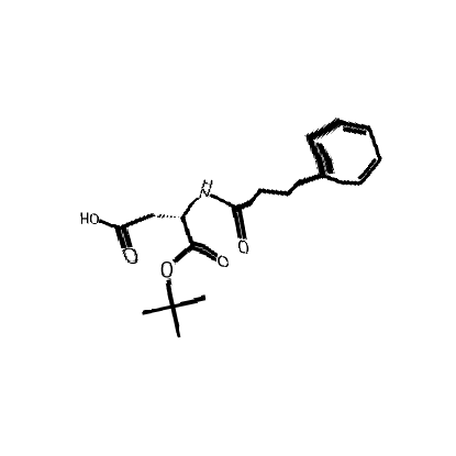 CC(C)(C)OC(=O)[C@H](CC(=O)O)NC(=O)CCc1ccccc1